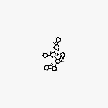 c1ccc(C2=NC(c3cc(-c4cccc5c4oc4ccccc45)cc4oc5ccccc5c34)NC(c3ccc4c(c3)sc3ccccc34)=N2)cc1